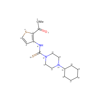 COC(=O)c1sccc1NC(=S)N1CCN(C2CCCCC2)CC1